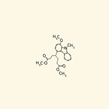 COC(=O)CCC(CCC(=O)OC)c1ccc(OC)c2c1c1ccccc1n2C